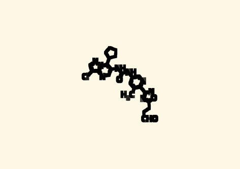 Cc1cc(NC(=O)Nc2cnc3c(Cl)cnn3c2C2CCCC2)cnc1-c1noc(CCC=O)n1